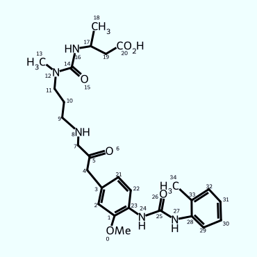 COc1cc(CC(=O)CNCCCN(C)C(=O)NC(C)CC(=O)O)ccc1NC(=O)Nc1ccccc1C